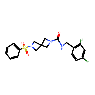 O=C(NCc1ccc(Cl)cc1Cl)N1CC2(C1)CN(S(=O)(=O)c1ccccc1)C2